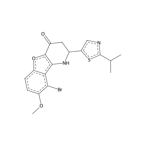 COc1ccc2oc3c(c2c1Br)NC(c1cnc(C(C)C)s1)CC3=O